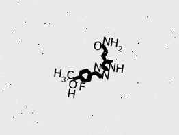 C[C@H](O)c1ccc(-c2cnc3[nH]cc(/C=C/C(N)=O)c3n2)cc1F